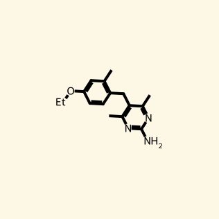 CCOc1ccc(Cc2c(C)nc(N)nc2C)c(C)c1